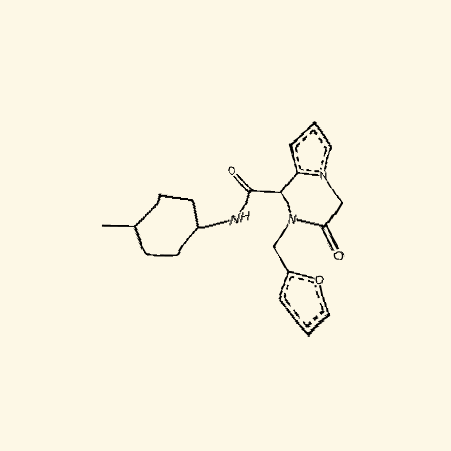 CC1CCC(NC(=O)C2c3cccn3CC(=O)N2Cc2ccco2)CC1